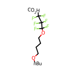 CCCCOCCCCOC(F)(F)C(F)(F)C(F)(F)C(=O)O